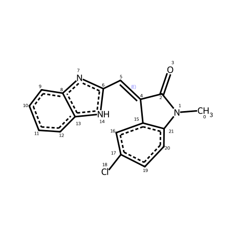 CN1C(=O)/C(=C/c2nc3ccccc3[nH]2)c2cc(Cl)ccc21